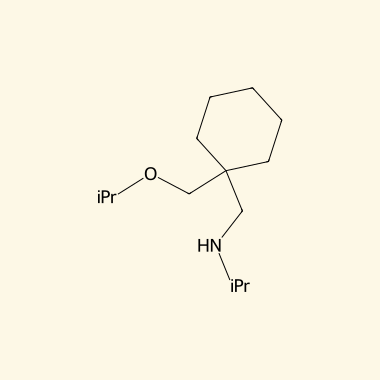 CC(C)NCC1(COC(C)C)CCCCC1